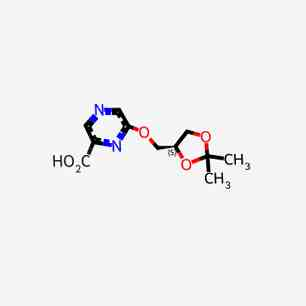 CC1(C)OC[C@H](COc2cncc(C(=O)O)n2)O1